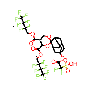 O=C(OCC(F)(F)C(F)(F)C(F)(F)F)C1COC2(OC1C(=O)OCC(F)(F)C(F)(F)C(F)(F)F)C1CC3CC2CC(OC(=O)C(F)(F)S(=O)(=O)O)(C3)C1